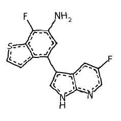 Nc1cc(-c2c[nH]c3ncc(F)cc23)c2ccsc2c1F